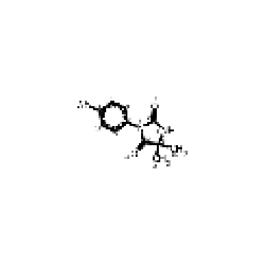 CC(=O)c1ccc(N2C(=O)NC(C)(C)C2=O)cc1